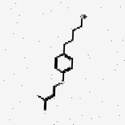 CC(C)=CCOc1ccc(CCCCO)cc1